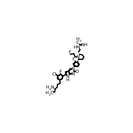 C=C[C@H](N)CCCc1cc(Cl)c(F)c(-c2cc3cn(-c4ccc([C@@H]5CCC[C@@H](CCNC(C)=N)N5CCCF)c(F)c4)c(=O)nc3[nH]2)c1